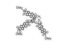 CCC(COCC(C)N1C(=O)c2ccc3c4ccc5c6c(ccc(c7ccc(c2c37)C1=O)c64)C(=O)N(CCCOC)C5=O)(COCC(C)N1C(=O)c2ccc3c4ccc5c6c(ccc(c7ccc(c2c37)C1=O)c64)C(=O)N(CCCOC)C5=O)COCC(C)N1C(=O)c2ccc3c4ccc5c6c(ccc(c7ccc(c2c37)C1=O)c64)C(=O)N(CCCOC)C5=O